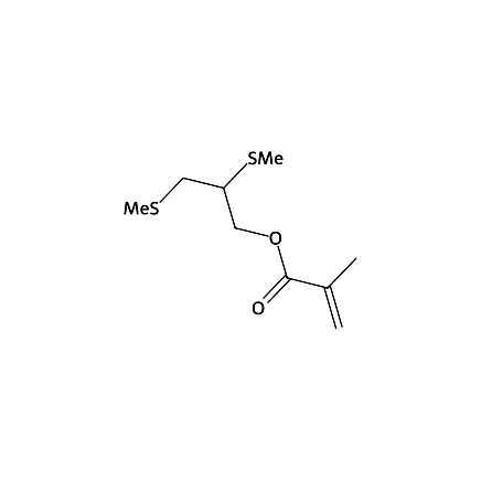 C=C(C)C(=O)OCC(CSC)SC